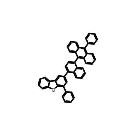 c1ccc(-c2c3ccccc3c(-c3ccc(-c4cc(-c5ccccc5)c5oc6ccccc6c5c4)c4ccccc34)c3ccccc23)cc1